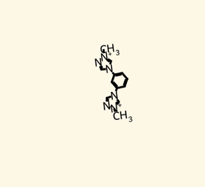 C[n+]1cn(-c2cccc(-n3cn[n+](C)c3)c2)cn1